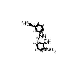 C#Cc1cccc(NCc2cccc([N+](=O)[O-])c2O)c1